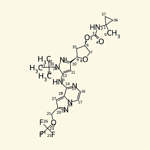 CC1(NC(=O)O[C@H]2CO[C@@H](c3cc(Nc4nccn5nc(COC(F)(F)F)cc45)n(C(C)(C)C)n3)C2)CC1